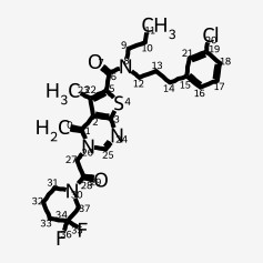 C=C1c2c(sc(C(=O)N(CCC)CCCc3cccc(Cl)c3)c2C)N=CN1CC(=O)N1CCCC(F)(F)C1